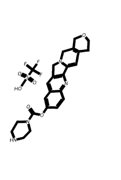 O=C(Oc1ccc2nc3c(cc2c1)CN1CC2=C(C=C31)CCOC2)N1CCNCC1.O=S(=O)(O)C(F)(F)F